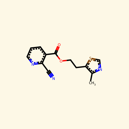 Cc1ncsc1CCOC(=O)c1cccnc1C#N